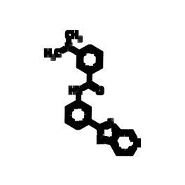 CN(C)c1cccc(C(=O)Nc2cccc(-c3nc4ccncc4s3)c2)c1